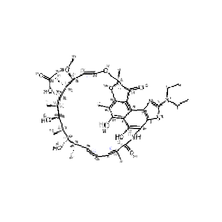 CCN(CC)c1nc2c(s1)c1c(O)c3c(O)c(C)c4c(c32)C(=O)[C@@](C)(O/C=C/[C@H](OC)[C@@H](C)[C@@H](OC(C)=O)[C@H](C)[C@H](O)[C@H](C)[C@@H](O)[C@@H](C)/C=C/C=C(/C)C(=O)N1)O4